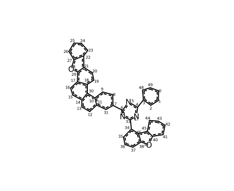 c1ccc(-c2nc(-c3ccc4c(ccc5ccc6c(ccc7c8ccccc8oc76)c54)c3)nc(-c3cccc4oc5ccccc5c34)n2)cc1